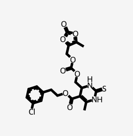 CC1=C(C(=O)OCCc2cccc(Cl)c2)C(COC(=O)OCc2oc(=O)oc2C)NC(=S)N1